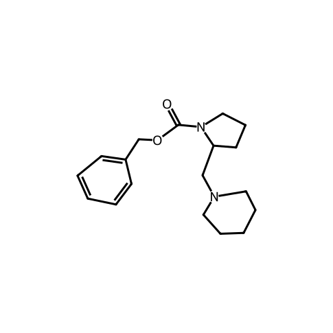 O=C(OCc1ccccc1)N1CCCC1CN1CCCCC1